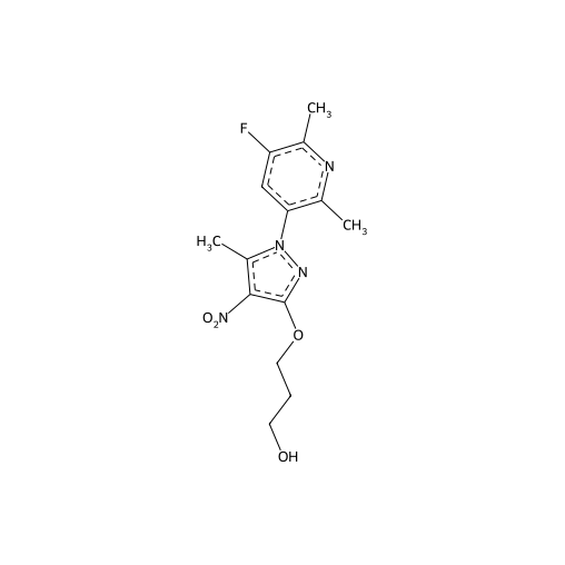 Cc1nc(C)c(-n2nc(OCCCO)c([N+](=O)[O-])c2C)cc1F